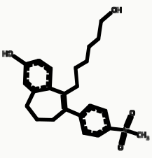 CS(=O)(=O)c1ccc(C2=C(CCCCCCO)c3ccc(O)cc3CCC2)cc1